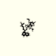 CCSc1cc(C)nc(SCC)c1NC(=O)NCC(CCCC(C)C)c1cccc2ccccc12